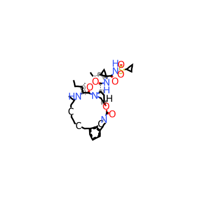 CC[C@@H]1C[C@]1(NC(=O)[C@@H]1C[C@@H]2CN1C(=O)[C@H]([C@@H](C)CC)NC(C)CCCCCCc1cccc3c1CN(C3)C(=O)O2)C(=O)NS(=O)(=O)C1CC1